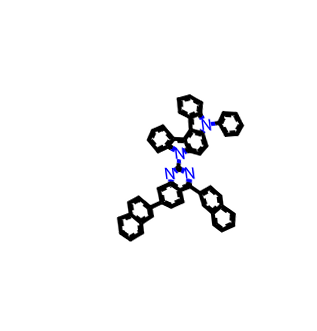 c1ccc(-n2c3ccccc3c3c4c5ccccc5n(-c5nc(-c6ccc7ccccc7c6)c6ccc(-c7ccc8ccccc8c7)cc6n5)c4ccc32)cc1